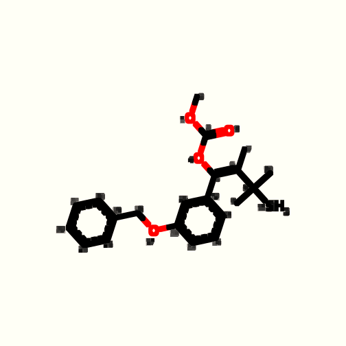 COC(=O)OC(=C(C)C(C)(C)[SiH3])c1cccc(OCc2ccccc2)c1